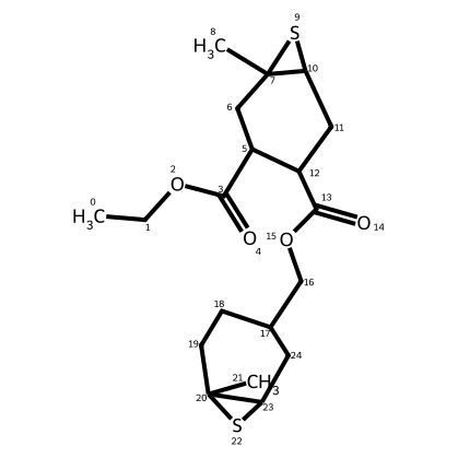 CCOC(=O)C1CC2(C)SC2CC1C(=O)OCC1CCC2(C)SC2C1